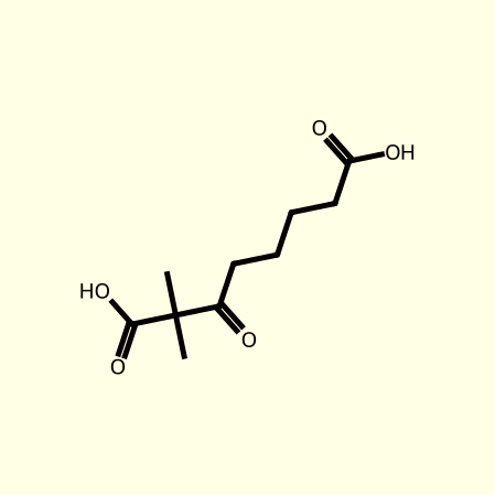 CC(C)(C(=O)O)C(=O)CCCCC(=O)O